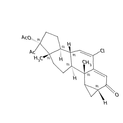 CC(=O)O[C@]1(C(C)=O)CC[C@H]2[C@@H]3C=C(Cl)C4=CC(=O)[C@@H]5CC5[C@]4(C)[C@H]3CC[C@@]21C